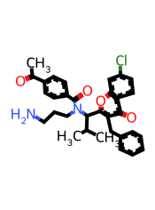 CC(=O)c1ccc(C(=O)N(CCCN)C(c2oc3cc(Cl)ccc3c(=O)c2Cc2ccccc2)C(C)C)cc1